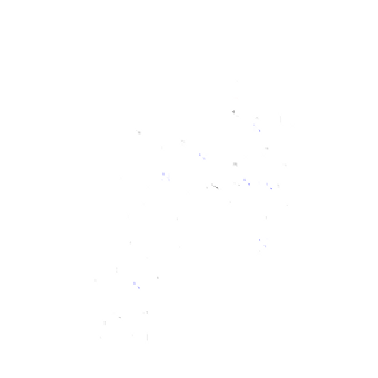 CC(c1ccc(CN2CCOC(C)(C)C2)cc1)N1C[C@H](C)N(c2cc(=O)n(C)c3cn(CC#N)nc23)C[C@H]1C